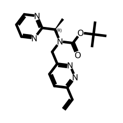 C=Cc1ccc(CN(C(=O)OC(C)(C)C)[C@H](C)c2ncccn2)nn1